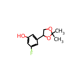 CC1(C)OCC(c2cc(O)cc(F)c2)O1